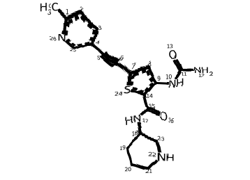 Cc1ccc(C#Cc2cc(NC(N)=O)c(C(=O)NC3CCCNC3)s2)cn1